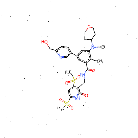 CCN(c1cc(-c2ccc(CO)nc2)cc(C(=O)NCc2c(S(C)(=O)=O)cc(S(C)(=O)=O)[nH]c2=O)c1C)C1CCOCC1